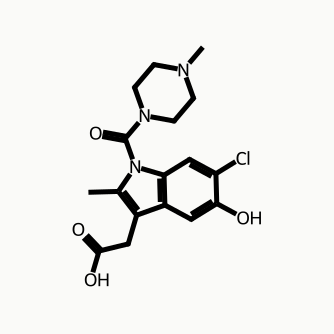 Cc1c(CC(=O)O)c2cc(O)c(Cl)cc2n1C(=O)N1CCN(C)CC1